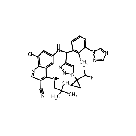 Cc1c([C@H](Nc2cc(Cl)c3ncc(C#N)c(NCC(C)(C)C)c3c2)c2cn(C3(C(F)F)CC3)nn2)cccc1-n1cncn1